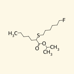 CCCCCC(SCCCCCCF)C(=O)OC(C)C